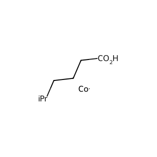 CC(C)CCCC(=O)O.[Co]